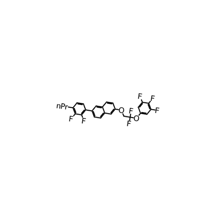 CCCc1ccc(-c2ccc3cc(OCC(F)(F)Oc4cc(F)c(F)c(F)c4)ccc3c2)c(F)c1F